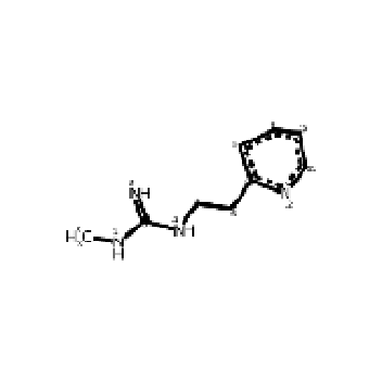 CNC(=N)NCCc1ccccn1